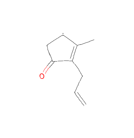 C=CCC1=C(C)[CH]CC1=O